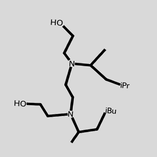 CCC(C)CC(C)N(CCO)CCN(CCO)C(C)CC(C)C